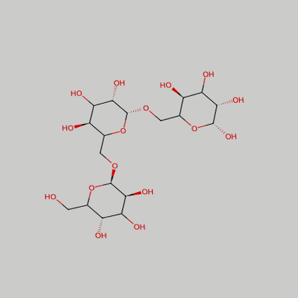 OCC1O[C@@H](OCC2O[C@@H](OCC3O[C@@H](O)[C@@H](O)C(O)[C@@H]3O)[C@@H](O)C(O)[C@@H]2O)[C@@H](O)C(O)[C@@H]1O